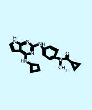 CN(C(=O)C1CC1)c1ccc(Nc2nc(NC3CCC3)c3cc[nH]c3n2)cc1